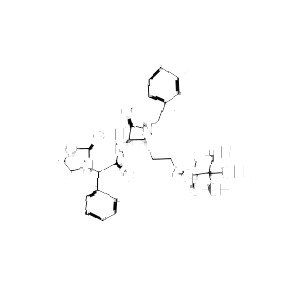 CC(C)(C)[Si](C)(C)OCC[C@H]1[C@@H](NC(=O)C(c2ccccc2)N2CCOC2=O)C(=O)N1Cc1ccccc1